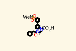 CNS(=O)(=O)c1cccc(-c2ccc3c(c2)N(C(=O)O)C[C@H](C)N3C(=O)CC2CCCCC2)c1